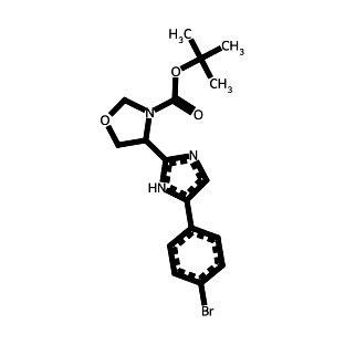 CC(C)(C)OC(=O)N1COCC1c1ncc(-c2ccc(Br)cc2)[nH]1